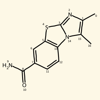 Cc1nc2sc3cc(C(N)=O)ccc3n2c1C